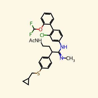 C/N=C(\Nc1ccc(-c2ccccc2OC(F)F)c(Cl)c1)C(CCNC(C)=O)c1ccc(SCC2CC2)cc1